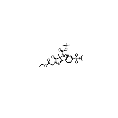 CCOC(=O)CN1N=C(c2ccc(S(=O)(=O)N(C)C)cc2)C(C)(N(O)C(=O)OC(C)(C)C)C1=O